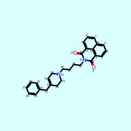 O=C1c2cccc3cccc(c23)C(=O)N1CCCCN1CC=C(Cc2ccccc2)CC1